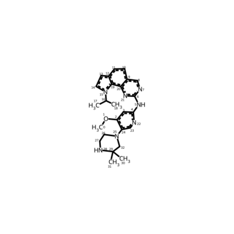 COc1cc(Nc2ncc3ccc4ccn(C(C)C)c4c3n2)ncc1N1CCNC(C)(C)C1